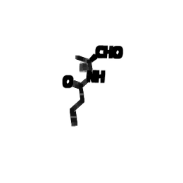 C=CCC(=O)N[C@@H](C)C=O